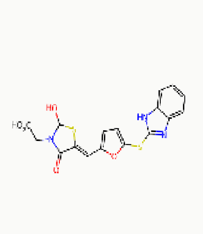 O=C(O)CN1C(=O)/C(=C/c2ccc(Sc3nc4ccccc4[nH]3)o2)SC1O